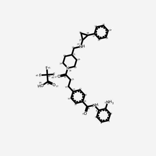 Nc1ccccc1NC(=O)c1ccc(CCC(=O)N2CCC(CNC3CC3c3ccccc3)CC2)cc1.O=C(O)C(F)(F)F